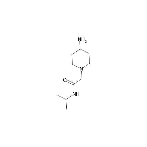 CC(C)NC(=O)CN1CCC(N)CC1